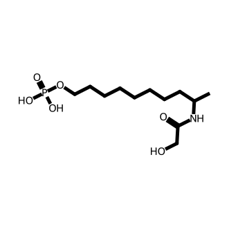 CC(CCCCCCCCOP(=O)(O)O)NC(=O)CO